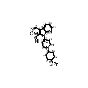 CO/N=C\c1c(CNC(C)=O)n(C2CCN(C3CCC(C(C)C)CC3)CC2)c2ncccc12